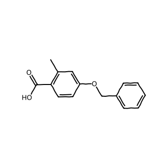 Cc1cc(OCc2ccccc2)ccc1C(=O)O